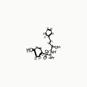 CC(C)[C@@H](NC[C@H](O)[CH]Cc1ccccc1)S(=O)(=O)c1ccc(O)cc1